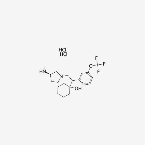 CN[C@@H]1CCN(CC(c2cccc(OC(F)(F)F)c2)C2(O)CCCCC2)C1.Cl.Cl